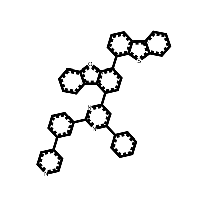 c1ccc(-c2cc(-c3ccc(-c4cccc5c4sc4ccccc45)c4oc5ccccc5c34)nc(-c3cccc(-c4ccncc4)c3)n2)cc1